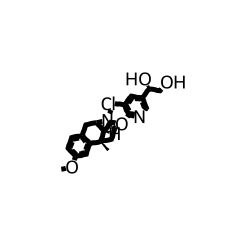 COc1ccc2c(c1)[C@@]1(C)CCN(C)C(C2)[C@@H]1COc1ncc([C@@H](O)CO)cc1Cl